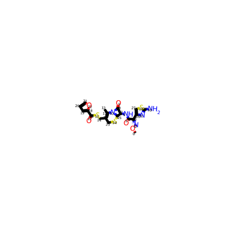 CO/N=C(\C(=O)NC1C(=O)N2C(C)=C(CSC(=O)c3ccco3)CSC12)c1csc(N)n1